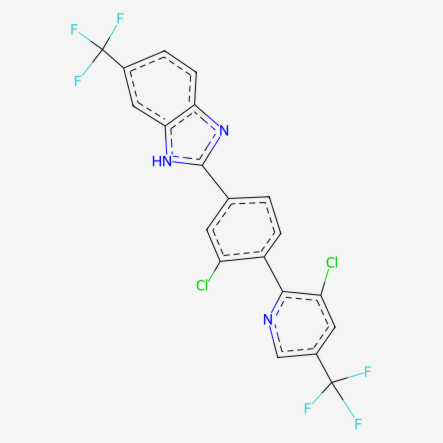 FC(F)(F)c1cnc(-c2ccc(-c3nc4ccc(C(F)(F)F)cc4[nH]3)cc2Cl)c(Cl)c1